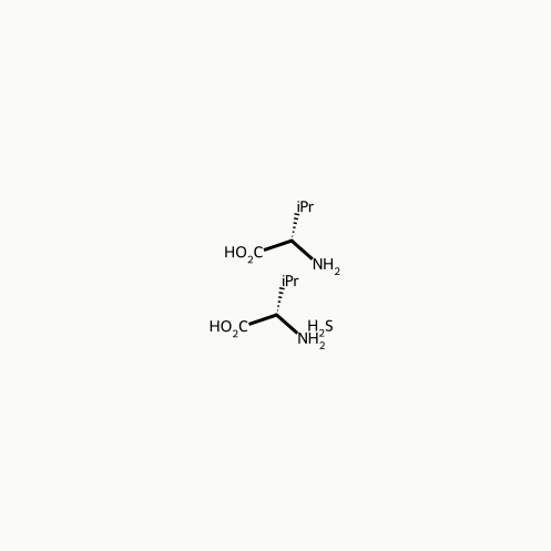 CC(C)[C@H](N)C(=O)O.CC(C)[C@H](N)C(=O)O.S